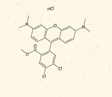 COC(=O)c1cc(Cl)c(Cl)cc1C1=C2C=CC(N(C)C)C=C2Oc2cc(N(C)C)ccc21.Cl